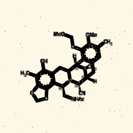 COCOc1c(OC)c(C)cc2c1[C@H]1C3Cc4c(O)c(C)c5c(c4[C@H](CNC(C)=O)N3[C@@H](C#N)[C@@H](C2)N1C)OCO5